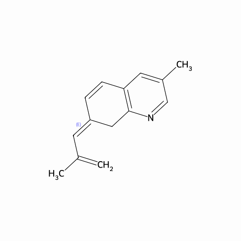 C=C(C)/C=C1/C=Cc2cc(C)cnc2C1